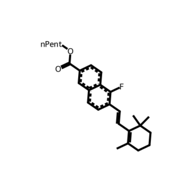 CCCCCOC(=O)c1ccc2c(F)c(/C=C/C3=C(C)CCCC3(C)C)ccc2c1